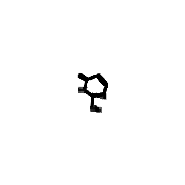 C=C1C=CN=C(C(C)(C)C)N1